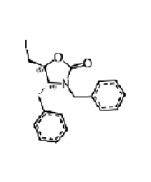 O=C1O[C@H](CI)[C@@H](Cc2ccccc2)N1Cc1ccccc1